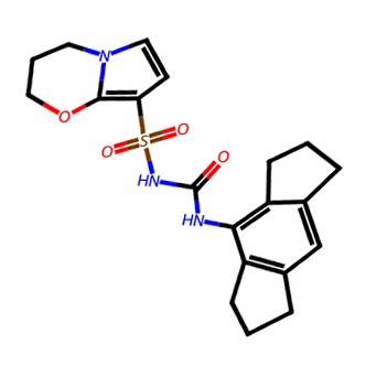 O=C(Nc1c2c(cc3c1CCC3)CCC2)NS(=O)(=O)c1ccn2c1OCCC2